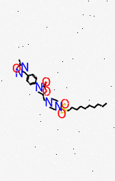 CCCCCCCCCCS(=O)(=O)N1CCN(CC2CN(c3ccc(-c4noc(C)n4)cc3)C(=O)O2)CC1